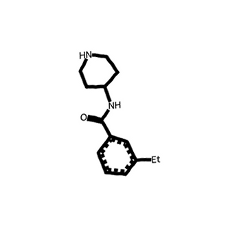 CCc1cccc(C(=O)NC2CCNCC2)c1